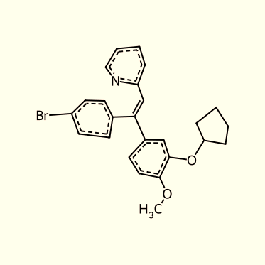 COc1ccc(C(=Cc2ccccn2)c2ccc(Br)cc2)cc1OC1CCCC1